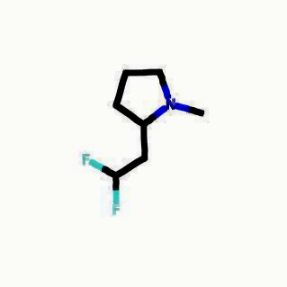 CN1CCCC1CC(F)F